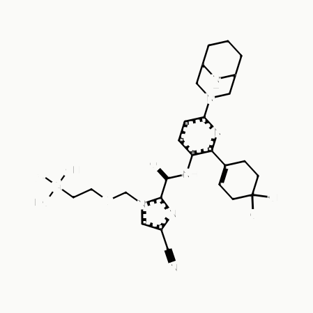 CC1(C)CC=C(c2nc(N3CC4CCCC(C3)N4)ccc2NC(=O)c2nc(C#N)cn2COCC[Si](C)(C)C)CC1